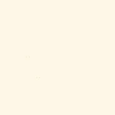 C=C(C)C(=O)OC1CCCCCCCCCCCCCC1